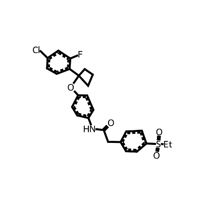 CCS(=O)(=O)c1ccc(CC(=O)Nc2ccc(OC3(c4ccc(Cl)cc4F)CCC3)cc2)cc1